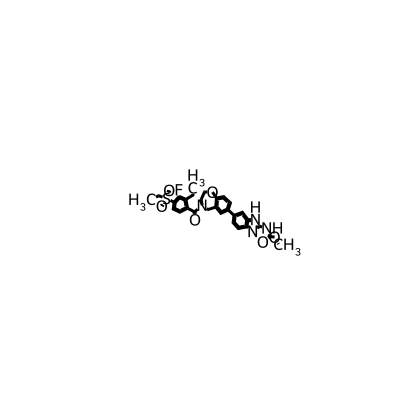 CCc1c(C(=O)N2CCOc3ccc(-c4ccc5nc(NC(=O)OC)[nH]c5c4)cc3C2)ccc(S(=O)(=O)CC)c1F